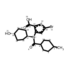 CC1CCC(C(=O)N(c2cc(Br)sc2C(=O)O)[C@H]2CC[C@H](O)CC2)CC1